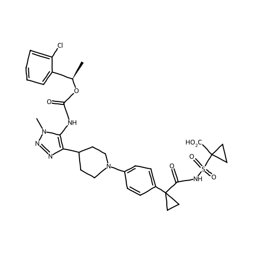 C[C@@H](OC(=O)Nc1c(C2CCN(c3ccc(C4(C(=O)NS(=O)(=O)C5(C(=O)O)CC5)CC4)cc3)CC2)nnn1C)c1ccccc1Cl